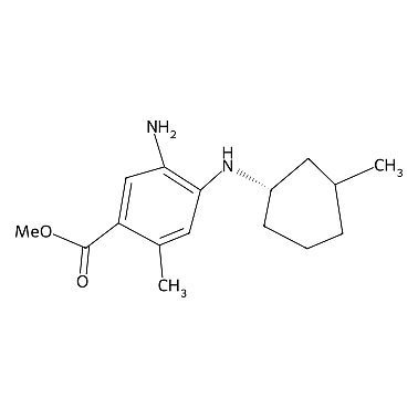 COC(=O)c1cc(N)c(N[C@H]2CCCC(C)C2)cc1C